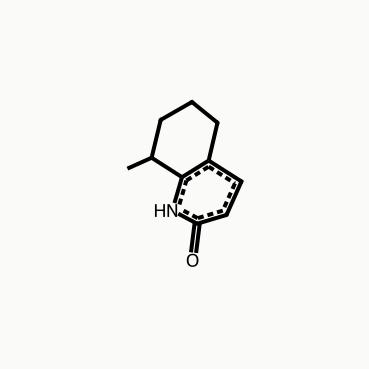 CC1CCCc2ccc(=O)[nH]c21